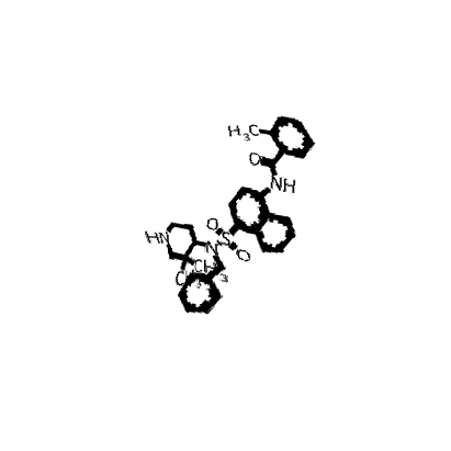 Cc1ccccc1C(=O)Nc1ccc(S(=O)(=O)N(Cc2ccccc2)C2CCNCC2(C)C)c2ccccc12